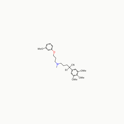 CCC(C#N)(CCCN(C)CCCOc1cccc(OC)c1)c1cc(OC)c(OC)c(OC)c1